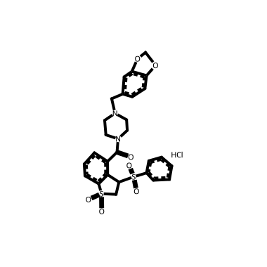 Cl.O=C(c1cccc2c1C(S(=O)(=O)c1ccccc1)CS2(=O)=O)N1CCN(Cc2ccc3c(c2)OCO3)CC1